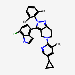 CCc1cccc(CC)c1-n1nc2c(c1-c1ccc(F)c3[nH]ccc13)CN(c1ncc(C3CC3)cc1C)CC2